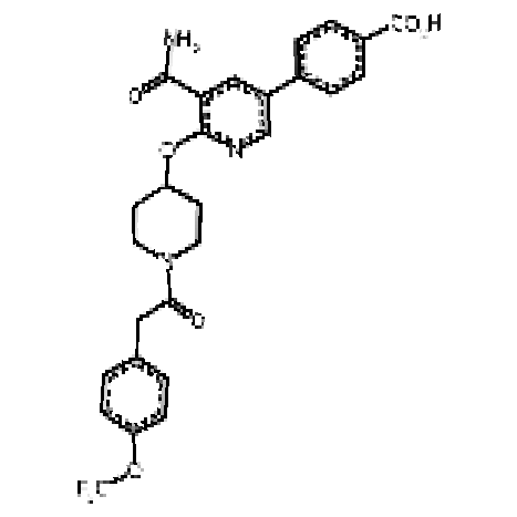 NC(=O)c1cc(-c2ccc(C(=O)O)cc2)cnc1OC1CCN(C(=O)Cc2ccc(OC(F)(F)F)cc2)CC1